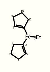 C[CH2][Fe]([C]1=CCCC1)[C]1=CCCC1